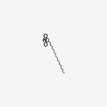 CCCCCCCCCCCCCCCCCC1CC(=O)[N]C1=O